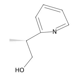 C[C@@H](CO)c1ccccn1